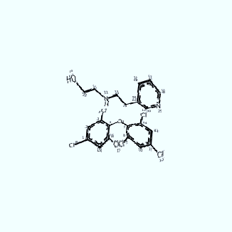 Clc1cc(Cl)c(Oc2c(Cl)cc(Cl)cc2Cl)c(Cl)c1.OCCNCCc1cccnc1